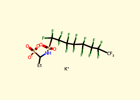 CCC(NS(=O)(=O)C(F)(F)C(F)(F)C(F)(F)C(F)(F)C(F)(F)C(F)(F)C(F)(F)C(F)(F)F)S(=O)(=O)[O-].[K+]